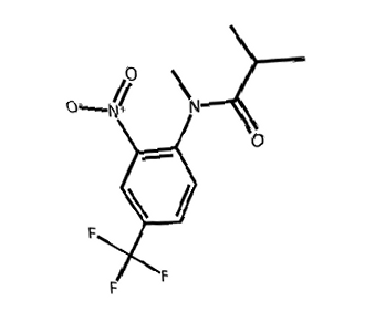 CC(C)C(=O)N(C)c1ccc(C(F)(F)F)cc1[N+](=O)[O-]